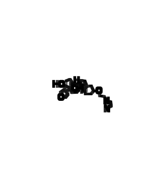 C[C@]12CCC(OCCn3ccnc3)CC1CC[C@@H]1[C@H]2CC[C@]2(C)C(O)(c3ccoc3)CC[C@@]12O